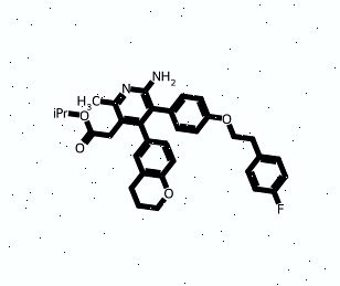 Cc1nc(N)c(-c2ccc(OCCc3ccc(F)cc3)cc2)c(-c2ccc3c(c2)CCCO3)c1CC(=O)OC(C)C